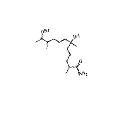 CCCCC(C)C(C)CCCC(C)(O)CCCC(C)C(N)=O